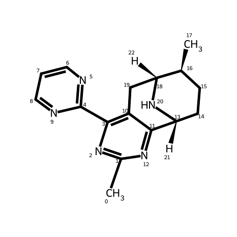 Cc1nc(-c2ncccn2)c2c(n1)[C@H]1CC[C@H](C)[C@@H](C2)N1